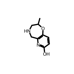 CC1CNCc2nc(O)ccc2O1